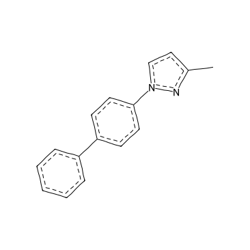 Cc1ccn(-c2ccc(-c3ccccc3)cc2)n1